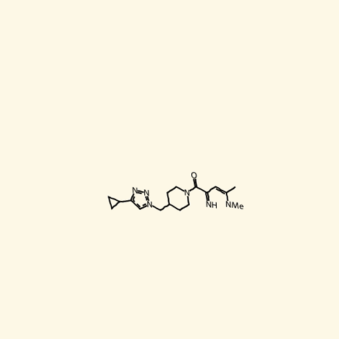 CN/C(C)=C\C(=N)C(=O)N1CCC(Cn2cc(C3CC3)nn2)CC1